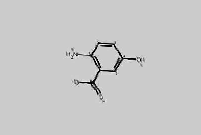 Nc1ccc(O)cc1C([O])=O